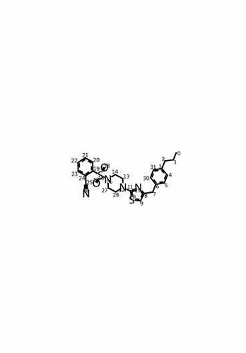 CCCc1ccc(Cc2csc(N3CCN(S(=O)(=O)c4ccccc4C#N)CC3)n2)cc1